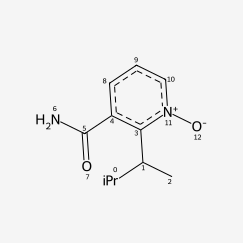 CC(C)C(C)c1c(C(N)=O)ccc[n+]1[O-]